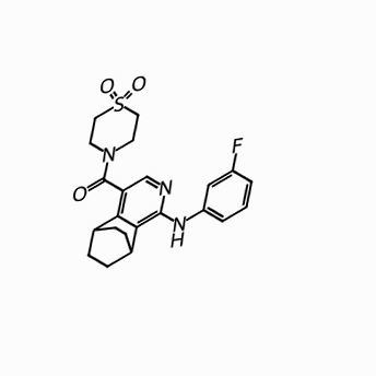 O=C(c1cnc(Nc2cccc(F)c2)c2c1C1CCC2CC1)N1CCS(=O)(=O)CC1